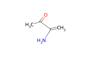 C=C(N)C(C)=O